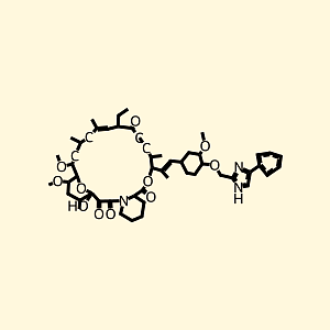 CCC1/C=C(\C)CC(C)CC(OC)C2OC(O)(C(=O)C(=O)N3CCCCC3C(=O)OC(C(C)=CC3CCC(OCc4nc(-c5ccccc5)c[nH]4)C(OC)C3)C(C)CCC1=O)C(C)CC2OC